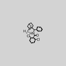 CN1CC2CCC1(C(NC(=O)c1c(Cl)cccc1Cl)c1ccccc1)CC2